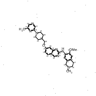 COc1cc2c(cc1Nc1ncc3ccc(OCC4CCN(c5cncc(C)n5)CC4)cc3n1)CN(C)CC2